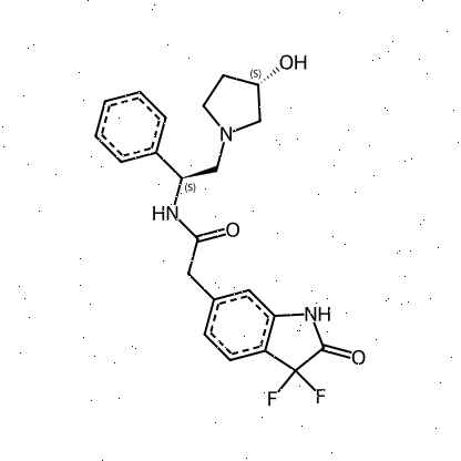 O=C(Cc1ccc2c(c1)NC(=O)C2(F)F)N[C@H](CN1CC[C@H](O)C1)c1ccccc1